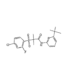 CC(C)(C)c1cccc(NC(=O)C(C)(C)S(=O)(=O)c2ccc(Cl)cc2F)n1